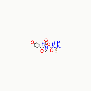 CNC(=S)NC(=O)CN1CCOC(c2ccc(OC)cc2)C1N=S(=O)=O